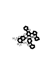 Cc1cc2c(cc1N1c3cc4oc5ccccc5c4cc3B3c4c1cc1c(oc5ccccc51)c4-c1cccc4c5ccccc5n3c14)C(C)(C)CCC2(C)C